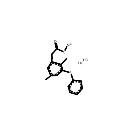 Cc1cc(CC(=O)[O][Al+2])c(C)c(Sc2ccccc2)c1.[OH-].[OH-]